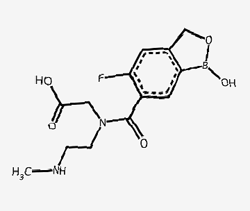 CNCCN(CC(=O)O)C(=O)c1cc2c(cc1F)COB2O